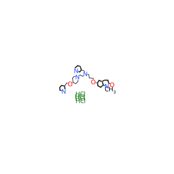 Cl.Cl.Cl.Cl.Cn1c(=O)ccc2cc(OCCCN(CCN3CCC(OCc4cccnc4)CC3)Cc3cccnc3)ccc21